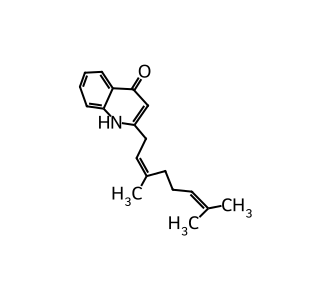 CC(C)=CCCC(C)=CCc1cc(=O)c2ccccc2[nH]1